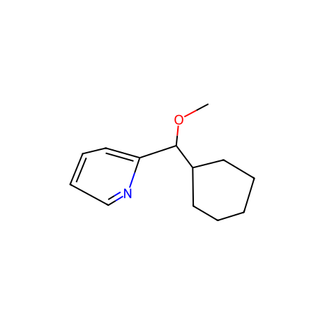 COC(c1ccccn1)C1CCCCC1